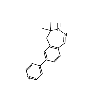 CC1(C)Cc2cc(-c3ccncc3)ccc2C=NN1